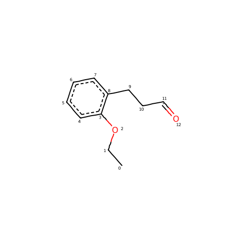 CCOc1ccccc1CC[C]=O